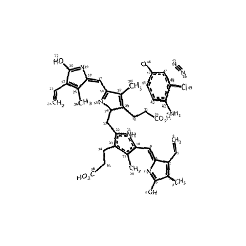 C=CC1=C(C)C(O)=NC1=Cc1[nH]c(CC2N=C(C=C3N=C(O)C(C=C)=C3C)C(C)=C2CCC(=O)O)c(CCC(=O)O)c1C.N#N.Nc1ccc(Cl)cc1Cl